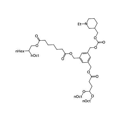 CCCCCCCCOC(CCC(=O)OCc1cc(COC(=O)CCCCCC(=O)OCC(CCCCCC)CCCCCCCC)cc(COC(=O)OCC2CCCN(CC)C2)c1)OCCCCCCCC